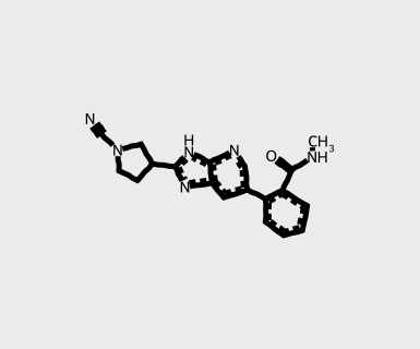 CNC(=O)c1ccccc1-c1cnc2[nH]c(C3CCN(C#N)C3)nc2c1